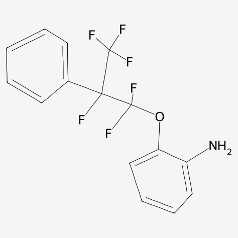 Nc1ccccc1OC(F)(F)C(F)(c1ccccc1)C(F)(F)F